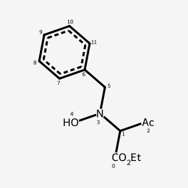 CCOC(=O)C(C(C)=O)N(O)Cc1ccccc1